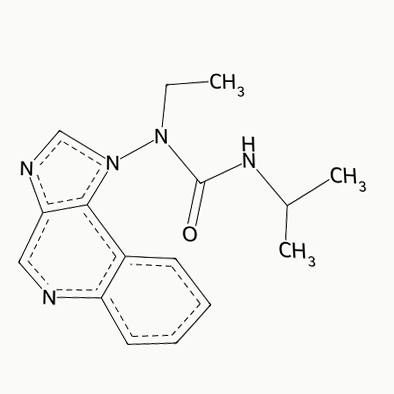 CCN(C(=O)NC(C)C)n1cnc2cnc3ccccc3c21